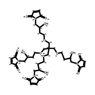 O=C1C=CC(=O)N1CC(O)CCOCC(COCCC(O)CN1C(=O)C=CC1=O)(COCCC(O)CN1C(=O)C=CC1=O)COCCC(O)CN1C(=O)C=CC1=O